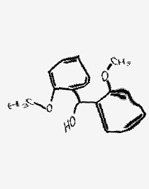 COc1ccccc1C(O)c1ccccc1OC